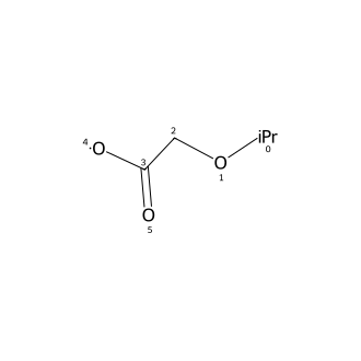 CC(C)OCC([O])=O